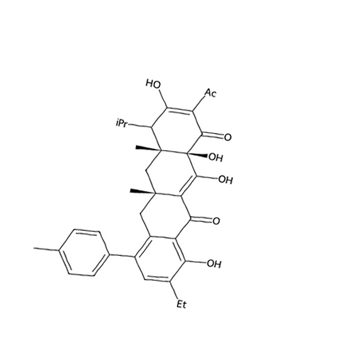 CCc1cc(-c2ccc(C)cc2)c2c(c1O)C(=O)C1=C(O)[C@@]3(O)C(=O)C(C(C)=O)=C(O)C(C(C)C)[C@@]3(C)C[C@@]1(C)C2